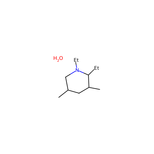 CCC1C(C)CC(C)CN1CC.O